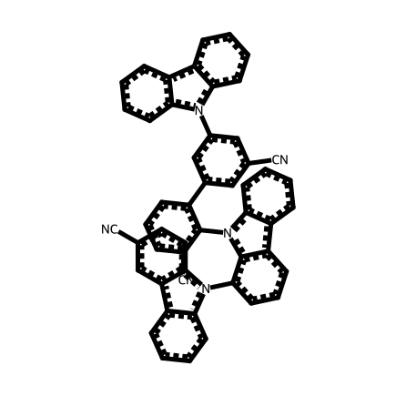 N#Cc1cc(-c2cccc(C#N)c2-n2c3ccccc3c3cccc(-n4c5ccccc5c5cc(C#N)ccc54)c32)cc(-n2c3ccccc3c3ccccc32)c1